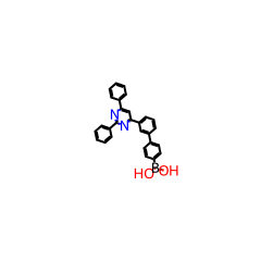 OB(O)c1ccc(-c2cccc(-c3cc(-c4ccccc4)nc(-c4ccccc4)n3)c2)cc1